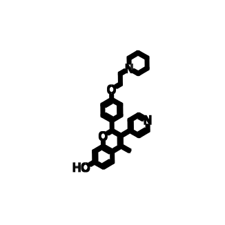 CC1=C(c2ccncc2)C(c2ccc(OCCN3CCCCC3)cc2)Oc2cc(O)ccc21